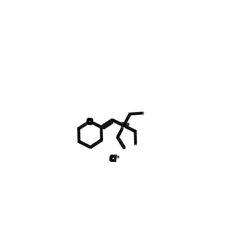 CC[P+](C=C1CCCCO1)(CC)CC.[Cl-]